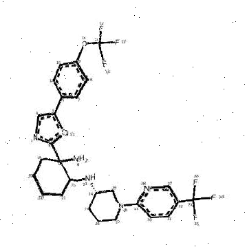 NC1(c2ncc(-c3ccc(OC(F)(F)F)cc3)o2)CCCCC1N[C@H]1CCCN(c2ccc(C(F)(F)F)cn2)C1